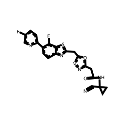 N#CC1(NC(=O)Cc2nnc(Cc3nc4ccc(-c5ccc(F)cn5)c(F)c4s3)o2)CC1